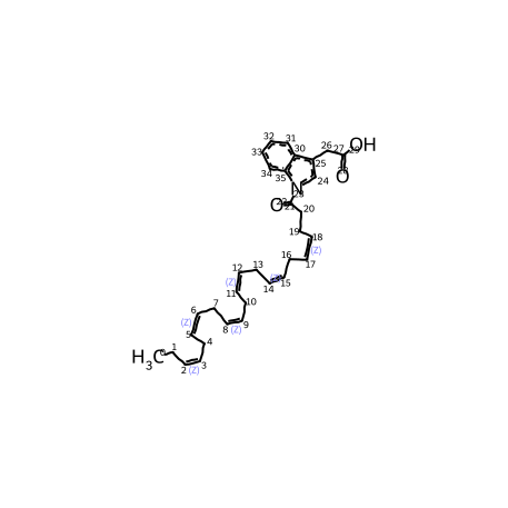 CC/C=C\C/C=C\C/C=C\C/C=C\C/C=C\C/C=C\CCC(=O)n1cc(CC(=O)O)c2ccccc21